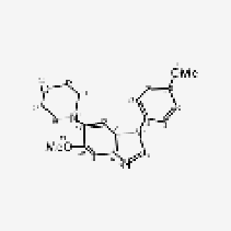 COc1ccc(-n2cnc3cc(OC)c(N4CCOCC4)cc32)cc1